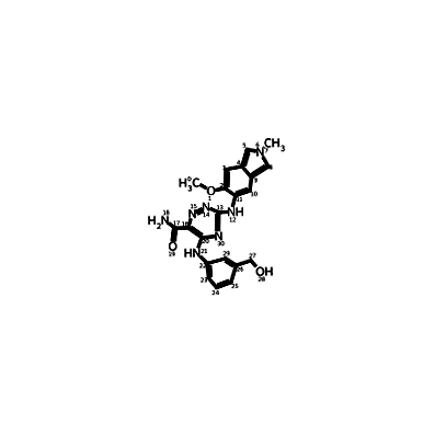 COc1cc2cn(C)cc2cc1Nc1nnc(C(N)=O)c(Nc2cccc(CO)c2)n1